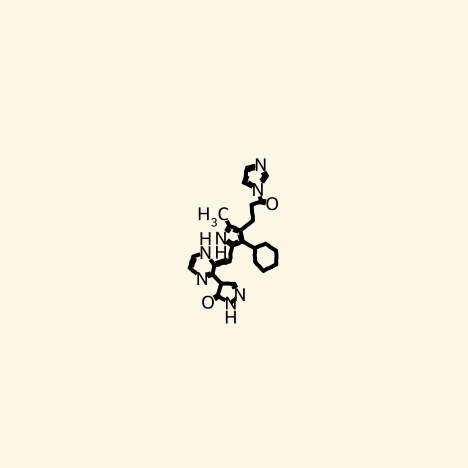 Cc1[nH]c(C=C2NC=CN=C2C2C=NNC2=O)c(C2CCCCC2)c1CCC(=O)n1ccnc1